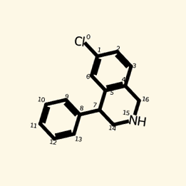 Clc1ccc2c(c1)C(c1ccccc1)CNC2